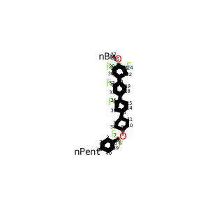 CCCCCc1ccc(C(F)(F)OC2CCC(c3ccc(-c4ccc(-c5cc(F)c(OCCCC)c(F)c5)c(F)c4)c(F)c3)CC2)cc1